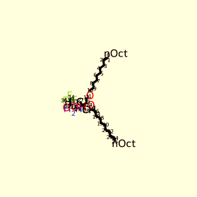 CCCCCCCCC=CCCCCCCCCOCC(OCCCCCCCCC=CCCCCCCCC)C(C)(C)N.O=C(O)C(F)(F)F